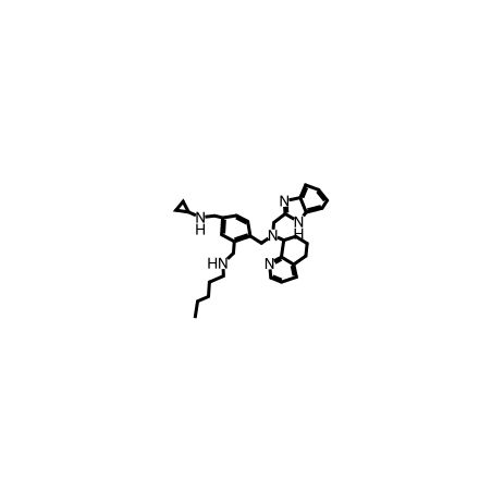 CCCCCNCc1cc(CNC2CC2)ccc1CN(Cc1nc2ccccc2[nH]1)C1CCCc2cccnc21